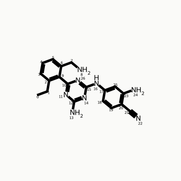 CCc1cccc(CN)c1-c1nc(N)nc(Nc2ccc(C#N)c(N)c2)n1